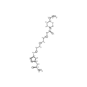 NOC1CCN(C(=O)COCCOCCOCc2cn(CC(N)=O)nn2)CC1